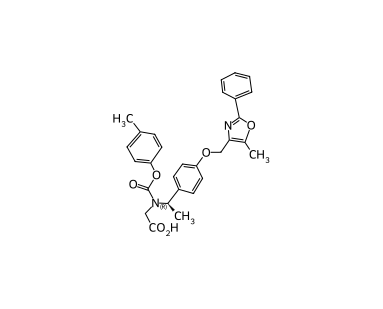 Cc1ccc(OC(=O)N(CC(=O)O)[C@H](C)c2ccc(OCc3nc(-c4ccccc4)oc3C)cc2)cc1